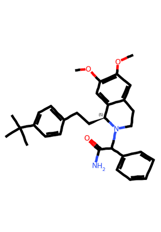 COc1cc2c(cc1OC)[C@H](CCc1ccc(C(C)(C)C)cc1)N(C(C(N)=O)c1ccccc1)CC2